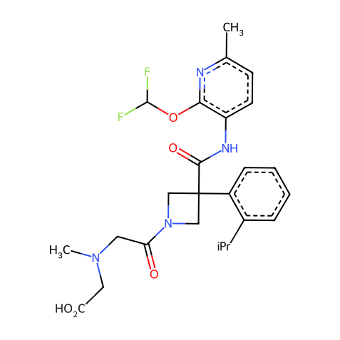 Cc1ccc(NC(=O)C2(c3ccccc3C(C)C)CN(C(=O)CN(C)CC(=O)O)C2)c(OC(F)F)n1